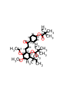 C=CC(C)(C)c1cc(OC)c(OCC)c(C=CC(=O)c2ccc(OC(=O)C(C)(C)C)cc2)c1OC(=O)C(C)(C)C